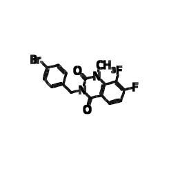 Cn1c(=O)n(Cc2ccc(Br)cc2)c(=O)c2ccc(F)c(F)c21